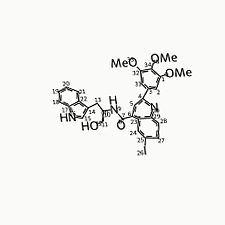 COc1cc(-c2cc(C(=O)N[C@@H](CO)Cc3c[nH]c4ccccc34)c3cc(I)ccc3n2)cc(OC)c1OC